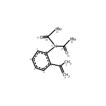 C=C(C)c1ccccc1N(C(=O)C(C)(C)C)C(=O)C(C)(C)C